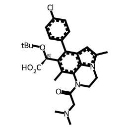 Cc1c([C@H](OC(C)(C)C)C(=O)O)c(-c2ccc(Cl)cc2)c2cc(C)n3c2c1N(C(=O)CN(C)C)CC3